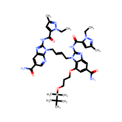 CCn1nc(C)cc1C(=O)Nc1nc2cc(C(N)=O)cnc2n1CC=CCn1c(NC(=O)c2cc(C)nn2CC)nc2cc(C(N)=O)cc(OCCCO[Si](C)(C)C(C)(C)C)c21